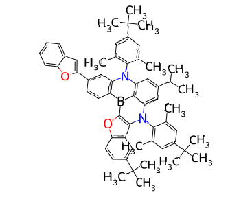 Cc1cc(C(C)(C)C)cc(C)c1N1c2cc(-c3cc4ccccc4o3)ccc2B2c3oc4ccc(C(C)(C)C)cc4c3N(c3c(C)cc(C(C)(C)C)cc3C)c3cc(C(C)C)cc1c32